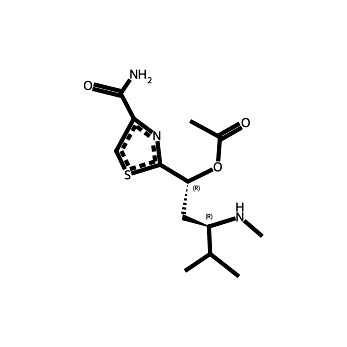 CN[C@H](C[C@@H](OC(C)=O)c1nc(C(N)=O)cs1)C(C)C